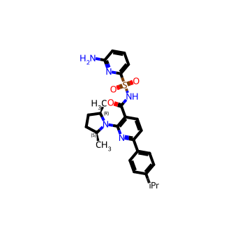 CC(C)c1ccc(-c2ccc(C(=O)NS(=O)(=O)c3cccc(N)n3)c(N3[C@H](C)CC[C@@H]3C)n2)cc1